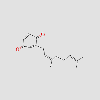 CC(C)=CCCC(C)=CCC1=CC(=O)C=CC1=O